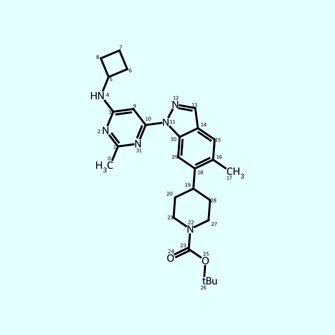 Cc1nc(NC2CCC2)cc(-n2ncc3cc(C)c(C4CCN(C(=O)OC(C)(C)C)CC4)cc32)n1